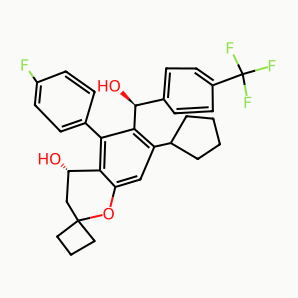 O[C@@H](c1ccc(C(F)(F)F)cc1)c1c(C2CCCC2)cc2c(c1-c1ccc(F)cc1)[C@@H](O)CC1(CCC1)O2